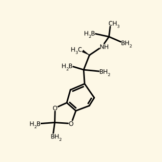 BC(B)(C)N[C@H](C)C(B)(B)c1ccc2c(c1)OC(B)(B)O2